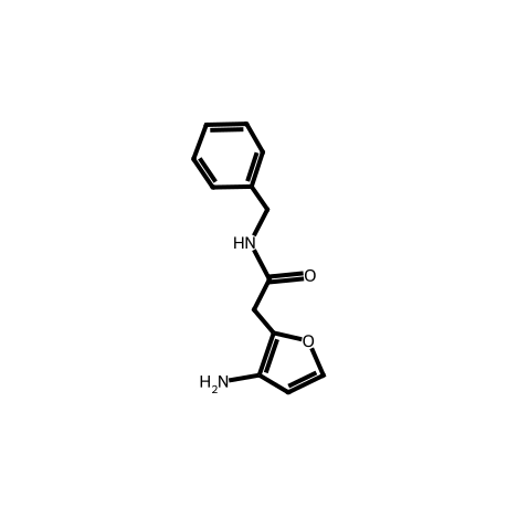 Nc1ccoc1CC(=O)NCc1ccccc1